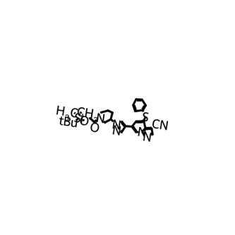 CC(C)(C)[Si](C)(C)OCC(=O)N1CCCC(n2cc(-c3cc(Sc4ccccc4)c4c(C#N)cnn4c3)cn2)C1